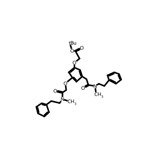 CN(CCc1ccccc1)C(=O)COc1cc(CC(=O)N(C)CCc2ccccc2)cc(OCC(=O)OC(C)(C)C)c1